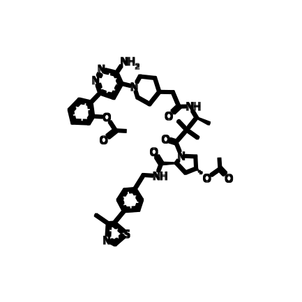 CC(=O)Oc1ccccc1-c1cc(N2CCC(CC(=O)N[C@@H](C)C(C)(C)C(=O)N3C[C@H](OC(C)=O)C[C@H]3C(=O)NCc3ccc(-c4scnc4C)cc3)CC2)c(N)nn1